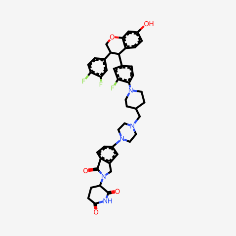 O=C1CCC(N2Cc3cc(N4CCN(CC5CCN(c6ccc(C7c8ccc(O)cc8OCC7c7ccc(F)c(F)c7)cc6F)CC5)CC4)ccc3C2=O)C(=O)N1